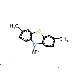 CCCN1c2ccc(C)cc2Sc2cc(C)ccc21